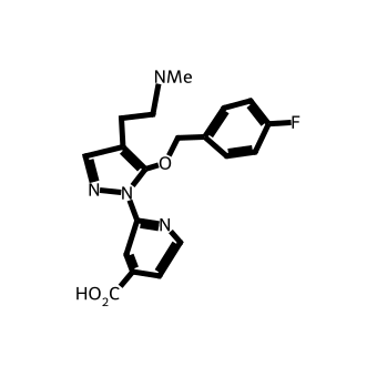 CNCCc1cnn(-c2cc(C(=O)O)ccn2)c1OCc1ccc(F)cc1